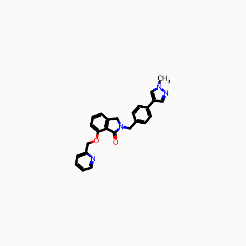 Cn1cc(-c2ccc(CN3Cc4cccc(OCc5ccccn5)c4C3=O)cc2)cn1